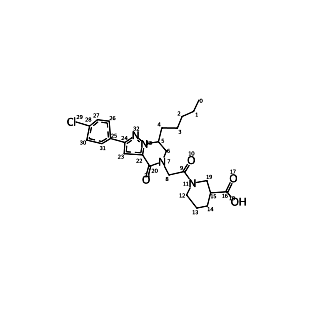 CCCCCC1CN(CC(=O)N2CCCC(C(=O)O)C2)C(=O)c2cc(-c3ccc(Cl)cc3)nn21